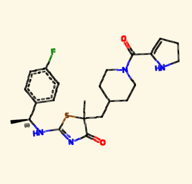 C[C@H](NC1=NC(=O)C(C)(CC2CCN(C(=O)C3=CCCN3)CC2)S1)c1ccc(F)cc1